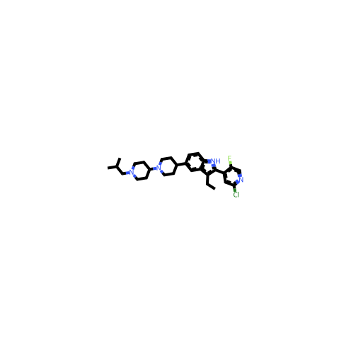 CCc1c(-c2cc(Cl)ncc2F)[nH]c2ccc(C3CCN(C4CCN(CC(C)C)CC4)CC3)cc12